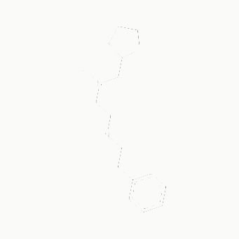 CN(CCNCCc1ccccc1)CC1CCCO1